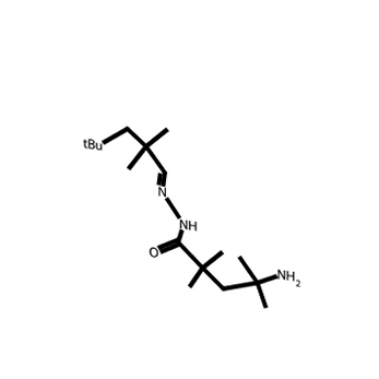 CC(C)(C)CC(C)(C)/C=N/NC(=O)C(C)(C)CC(C)(C)N